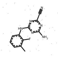 Cc1cccc(Nc2nc(N)nc(C#N)n2)c1F